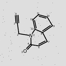 C#CCn1c(=O)ccc2ccccc21